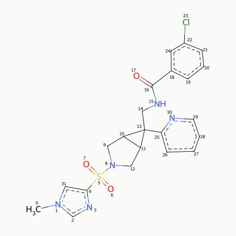 Cn1cnc(S(=O)(=O)N2CC3C(C2)C3(CNC(=O)c2cccc(Cl)c2)c2ccccn2)c1